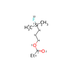 CCC(=O)OCCC[Si](C)(C)F